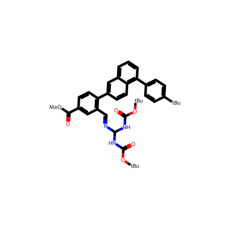 COC(=O)c1ccc(-c2ccc3c(-c4ccc(C(C)(C)C)cc4)cccc3c2)c(/C=N/C(NC(=O)OC(C)(C)C)NC(=O)OC(C)(C)C)c1